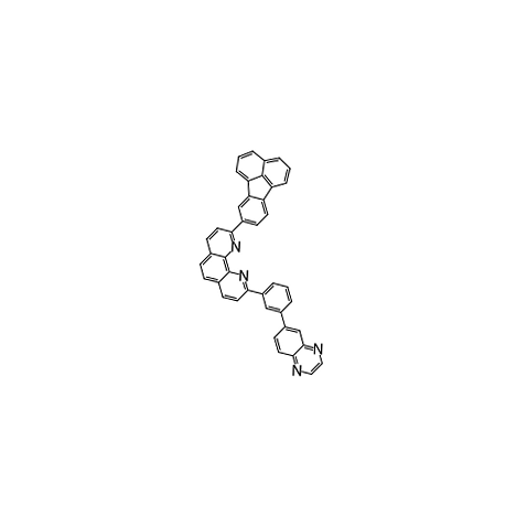 c1cc(-c2ccc3nccnc3c2)cc(-c2ccc3ccc4ccc(-c5ccc6c(c5)-c5cccc7cccc-6c57)nc4c3n2)c1